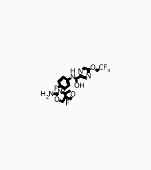 NC1=N[C@@]2(c3cc(NC(O)c4cnc(OCC(F)(F)F)cn4)ccc3F)COC[C@@]2(F)CO1